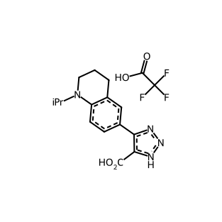 CC(C)N1CCCc2cc(-c3nn[nH]c3C(=O)O)ccc21.O=C(O)C(F)(F)F